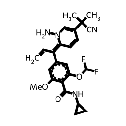 C=C/C(=C1/C=CC(C(C)(C)C#N)=CN1N)c1cc(OC)c(C(=O)NC2CC2)c(OC(F)F)c1